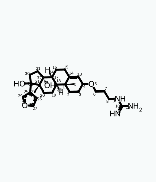 C[C@]12CCC(OCCCNC(=N)N)C=C1CC[C@@H]1[C@H]2CC[C@]2(C)C(O)(c3ccoc3)CC[C@@]12O